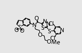 COCCOCCN(C(=O)c1nnc(Sc2c(Cl)cncc2Cl)s1)c1ccc2c(c1)S(=O)(=O)C=C2